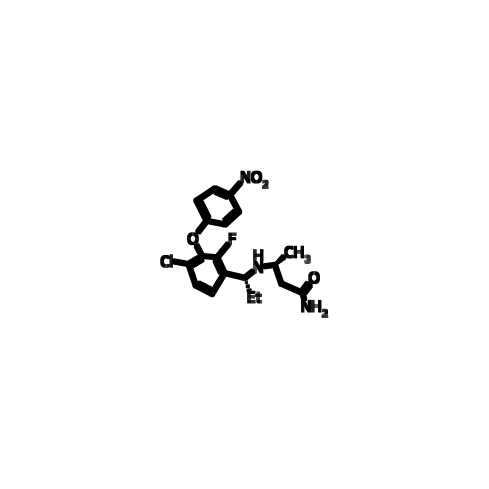 CC[C@@H](N[C@@H](C)CC(N)=O)c1ccc(Cl)c(Oc2ccc([N+](=O)[O-])cc2)c1F